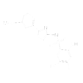 COc1cccc(-c2nc(NS(=O)(=O)c3cc(C)c(Cl)cc3C)cs2)c1